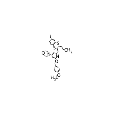 C=C/C=C1/Sc2cc(I)ccc2S/C1=C\c1cc(N2CCOCC2)cc(OCc2ccc(OC)cc2)n1